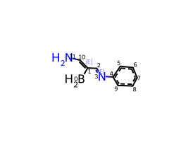 BC(/C=N/c1ccccc1)=C\N